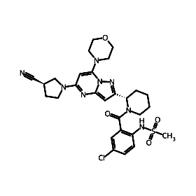 CS(=O)(=O)Nc1ccc(Cl)cc1C(=O)N1CCCC[C@H]1c1cc2nc(N3CC[C@@H](C#N)C3)cc(N3CCOCC3)n2n1